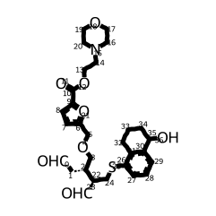 O=CC[C@H](COCc1ccc(C(=O)OCCN2CCOCC2)o1)[C@H](C=O)CSc1cccc2c1CCCC2O